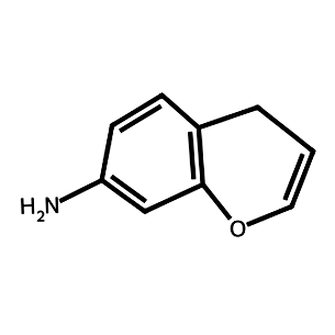 Nc1ccc2c(c1)OC=CC2